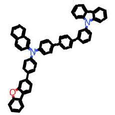 c1cc(-c2ccc(-c3ccc(N(c4ccc(-c5ccc6c(c5)oc5ccccc56)cc4)c4ccc5ccccc5c4)cc3)cc2)cc(-n2c3ccccc3c3ccccc32)c1